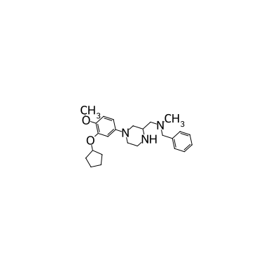 COc1ccc(N2CCNC(CN(C)Cc3ccccc3)C2)cc1OC1CCCC1